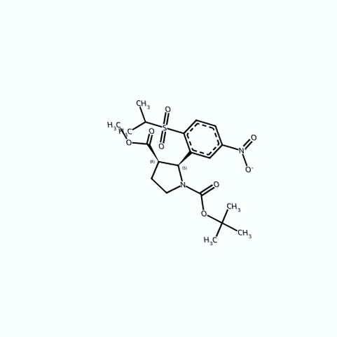 COC(=O)[C@@H]1CCN(C(=O)OC(C)(C)C)[C@@H]1c1cc([N+](=O)[O-])ccc1S(=O)(=O)C(C)C